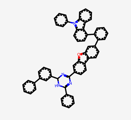 c1ccc(C2=NC(c3ccc4c(c3)oc3cc(-c5ccccc5-c5cccc6c5c5ccccc5n6-c5ccccc5)ccc34)=NC(c3cccc(-c4ccccc4)c3)N2)cc1